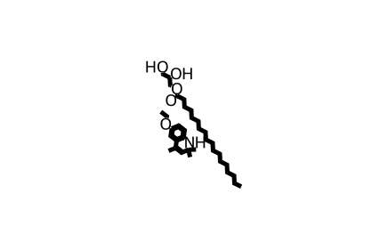 CCCCCCCCCCCCCCCCCC(=O)OCC(O)CO.CCOc1ccc2c(c1)C(C)=CC(C)(C)N2